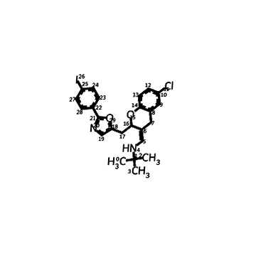 CC(C)(C)NC=C1Cc2cc(Cl)ccc2OC1Cc1cnc(-c2ccc(I)cc2)o1